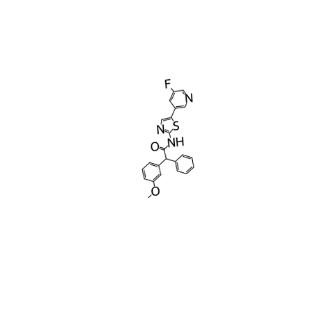 COc1cccc(C(C(=O)Nc2ncc(-c3cncc(F)c3)s2)c2ccccc2)c1